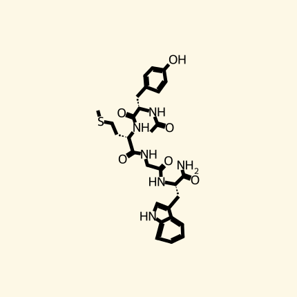 CSCC[C@H](NC(=O)[C@H](Cc1ccc(O)cc1)NC(C)=O)C(=O)NCC(=O)N[C@@H](Cc1c[nH]c2ccccc12)C(N)=O